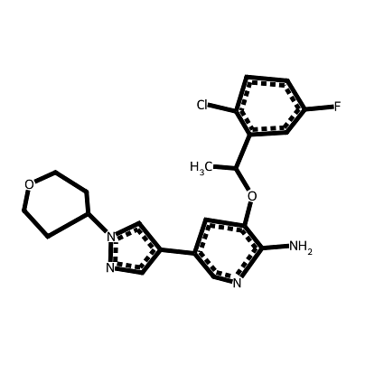 CC(Oc1cc(-c2cnn(C3CCOCC3)c2)cnc1N)c1cc(F)ccc1Cl